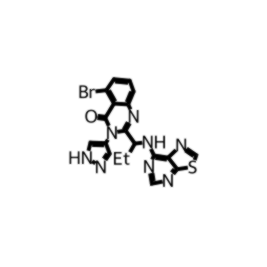 CCC(Nc1ncnc2scnc12)c1nc2cccc(Br)c2c(=O)n1-c1cn[nH]c1